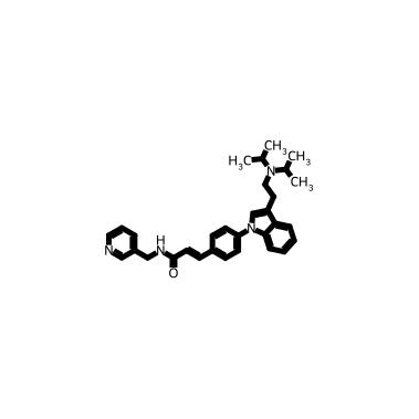 CC(C)N(CCc1cn(-c2ccc(C=CC(=O)NCc3cccnc3)cc2)c2ccccc12)C(C)C